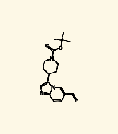 C=Cc1ccc2ncc(C3CCN(C(=O)OC(C)(C)C)CC3)n2c1